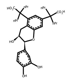 CCCC(CCC)(C(=O)O)c1cc2c(c(C(CCC)(CCC)C(=O)O)c1)C[C@H](O)[C@H](c1ccc(O)c(O)c1)O2